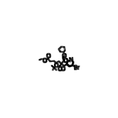 CCOC(=O)CCCCC(C(=O)COC1CCCCC1)(C(=O)OC(C)(C)C)C(=O)c1cncc(Br)c1